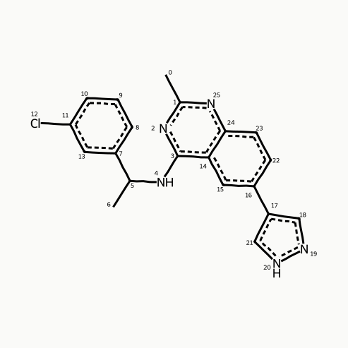 Cc1nc(NC(C)c2cccc(Cl)c2)c2cc(-c3cn[nH]c3)ccc2n1